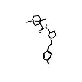 CC12CC[N+]([O-])(CC1)CC2C(=O)NC1CCN(CCc2ccc(F)cc2)C1